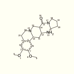 COc1cc2c(cc1OC)C1CC(N)C(C(=O)N3CCCC3)CN1CC2